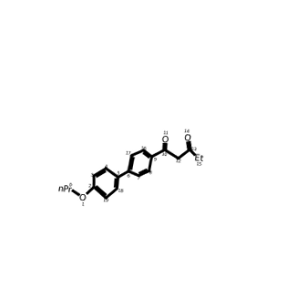 CCCOc1ccc(-c2ccc(C(=O)CC(=O)CC)cc2)cc1